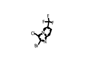 FC(F)(F)c1ccc2nc(Br)c(Cl)n2c1